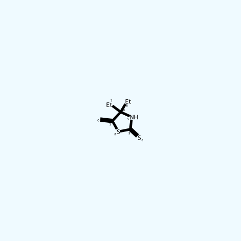 C=C1SC(=S)NC1(CC)CC